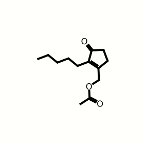 CCCCCC1=C(COC(C)=O)CCC1=O